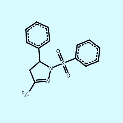 O=S(=O)(c1ccccc1)N1N=C(C(F)(F)F)CC1c1ccccc1